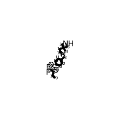 C=CCC(F)(F)S(=O)(=O)c1ccc(CN2CCC3(CNC3)C2)cc1